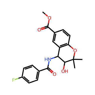 COC(=O)c1ccc2c(c1)C(NC(=O)c1ccc(F)cc1)C(O)C(C)(C)O2